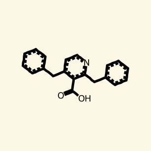 O=C(O)c1c(Cc2ccccc2)ccnc1Cc1ccccc1